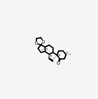 C=C[C@@H]1C([C@@]2(C)CC[C@H](C)CC2=O)CC[C@@]2(C)C1CCC21OCCO1